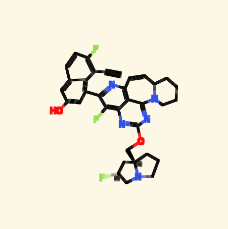 C#Cc1c(F)ccc2cc(O)cc(-c3nc4c5c(nc(OC[C@@]67CCCN6C[C@H](F)C7)nc5c3F)N3CCCCC3C=C4)c12